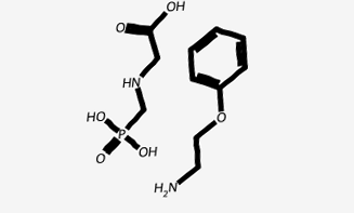 NCCOc1ccccc1.O=C(O)CNCP(=O)(O)O